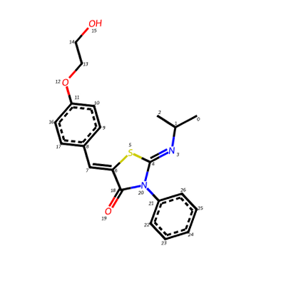 CC(C)/N=C1\S/C(=C\c2ccc(OCCO)cc2)C(=O)N1c1ccccc1